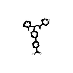 Cc1ccccc1C(CC(=O)c1ccnnc1)c1ccc(-c2ccc(C(=O)O)cc2)cc1